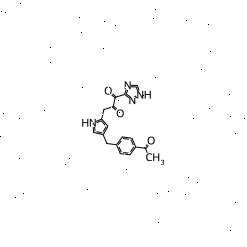 CC(=O)c1ccc(Cc2c[nH]c(CC(=O)C(=O)c3nc[nH]n3)c2)cc1